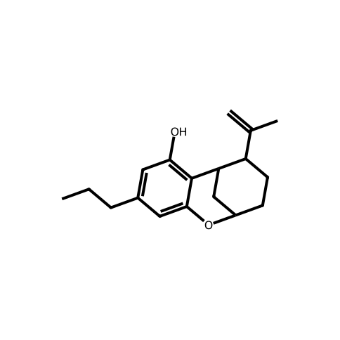 C=C(C)C1CCC2CC1c1c(O)cc(CCC)cc1O2